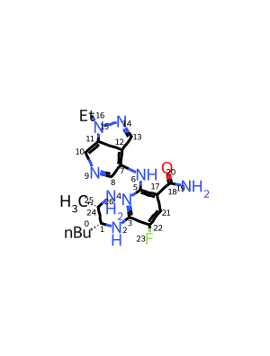 CCCC[C@@H](Nc1nc(Nc2cncc3c2cnn3CC)c(C(N)=O)cc1F)[C@H](C)N